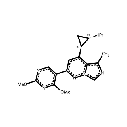 COc1ncc(-c2cc([C@H]3C[C@@H]3C(C)C)c3c(C)ncn3n2)c(OC)n1